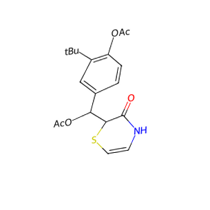 CC(=O)Oc1ccc(C(OC(C)=O)C2SC=CNC2=O)cc1C(C)(C)C